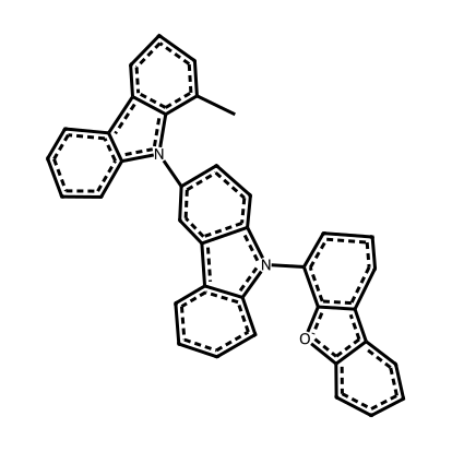 Cc1cccc2c3ccccc3n(-c3ccc4c(c3)c3ccccc3n4-c3cccc4c3oc3ccccc34)c12